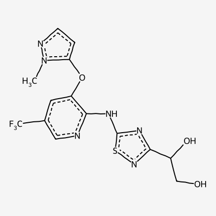 Cn1nccc1Oc1cc(C(F)(F)F)cnc1Nc1nc(C(O)CO)ns1